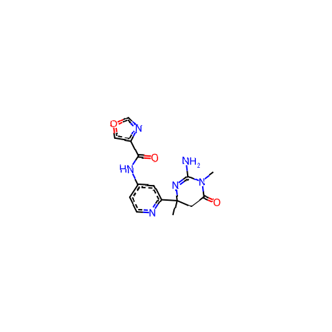 CN1C(=O)CC(C)(c2cc(NC(=O)c3cocn3)ccn2)N=C1N